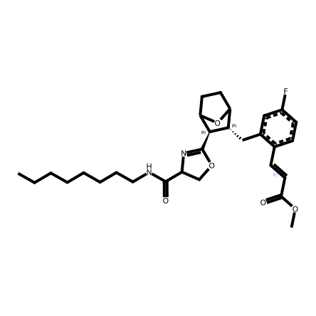 CCCCCCCCNC(=O)C1COC([C@H]2C3CCC(O3)[C@@H]2Cc2cc(F)ccc2/C=C/C(=O)OC)=N1